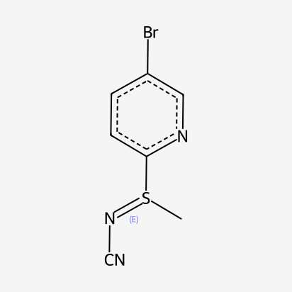 C/S(=N\C#N)c1ccc(Br)cn1